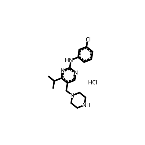 CC(C)c1nc(Nc2cccc(Cl)c2)ncc1CN1CCNCC1.Cl